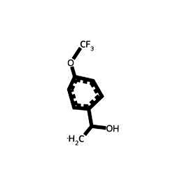 [CH2]C(O)c1ccc(OC(F)(F)F)cc1